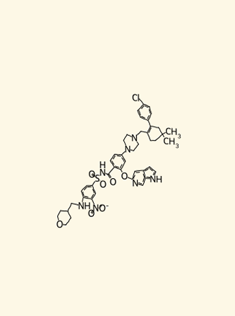 CC1(C)CCC(CN2CCN(c3ccc(C(=O)NS(=O)(=O)c4ccc(NCC5CCOCC5)c([N+](=O)[O-])c4)c(Oc4cc5cc[nH]c5cn4)c3)CC2)=C(c2ccc(Cl)cc2)C1